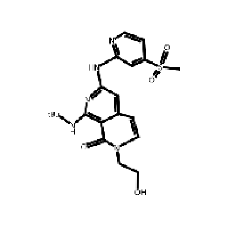 CC(C)(C)Nc1nc(Nc2cc(S(C)(=O)=O)ccn2)cc2ccn(CCO)c(=O)c12